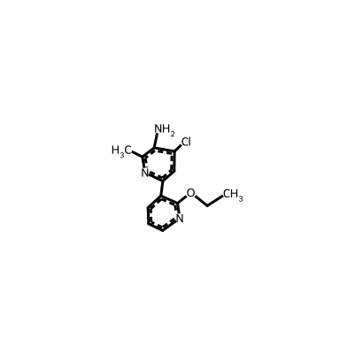 CCOc1ncccc1-c1cc(Cl)c(N)c(C)n1